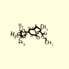 CCOC(=O)C1C(C)CC2CC(B3OC(C)(C)C(C)(C)O3)CC(=O)N21